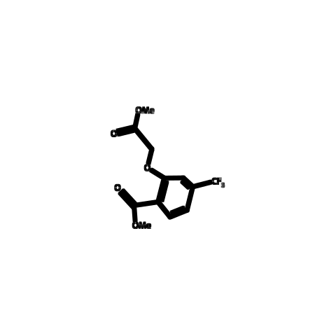 COC(=O)COc1cc(C(F)(F)F)ccc1C(=O)OC